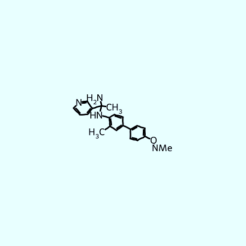 CNOc1ccc(-c2ccc(NC(C)(N)c3cccnc3)c(C)c2)cc1